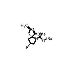 C=CC[C@@]1(C(=O)OC)C[C@H](F)CN1C(=O)OC(C)(C)C